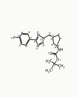 CC(C)(C)OC(=O)N[C@@H]1CC[C@H](Cn2nnc(-c3ccc(F)cc3)n2)C1